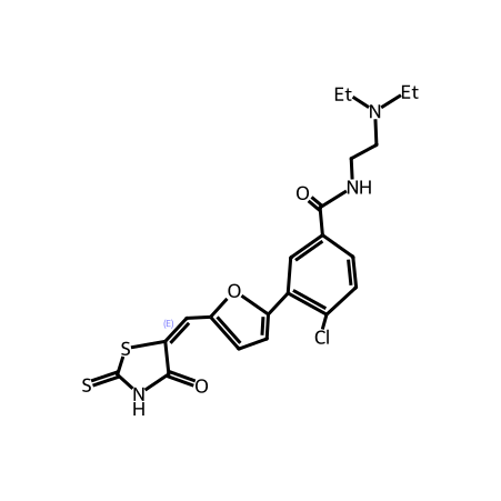 CCN(CC)CCNC(=O)c1ccc(Cl)c(-c2ccc(/C=C3/SC(=S)NC3=O)o2)c1